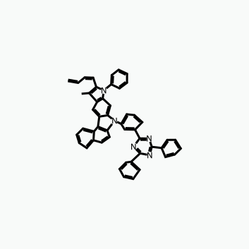 C=C/C=C\c1c(C)c2cc3c4c5ccccc5ccc4n(-c4cccc(-c5nc(-c6ccccc6)nc(-c6ccccc6)n5)c4)c3cc2n1-c1ccccc1